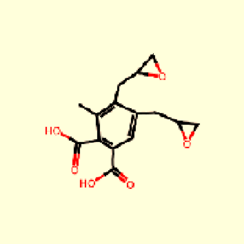 Cc1c(CC2CO2)c(CC2CO2)cc(C(=O)O)c1C(=O)O